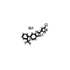 FC(F)(F)c1ccccc1-c1ccc2[nH]c(-c3cc(Cl)no3)nc2c1.[Na]